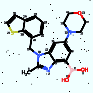 Cc1nc2c(B(O)O)cc(N3CCOCC3)cc2n1Cc1cccc2ccsc12